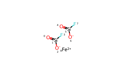 O=[Si]([O-])F.O=[Si]([O-])F.[Fe+2]